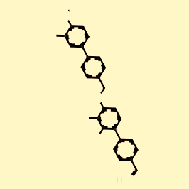 C=Cc1ccc(-c2ccc(OCc3ccc(-c4ccc(OCC)c(F)c4)cc3)c(F)c2F)cc1